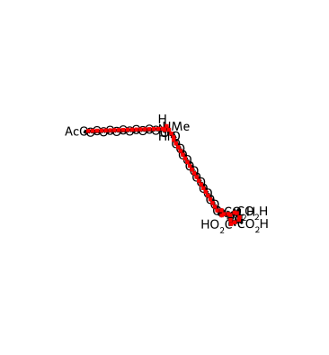 CNC(CCCNC(=O)CCOCCOCCOCCOCCOCCOCCOCCOCCOCCOCCOCCOCCOc1ccc(CC(C(=O)O)N2CCN(CC(=O)O)CCN(CC(=O)O)CCN(CC(=O)O)CC2)cc1)C(=O)NCCOCCOCCOCCOCCOCCOCCOCCOCCOCCOCCOCCOC(C)=O